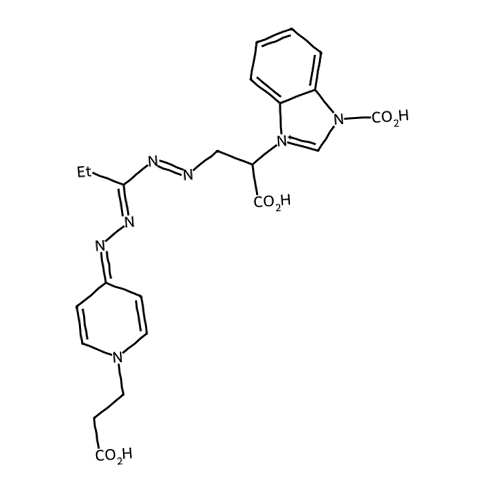 CCC(N=NCC(C(=O)O)[n+]1cn(C(=O)O)c2ccccc21)=NN=c1ccn(CCC(=O)O)cc1